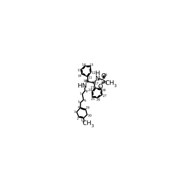 CC1=CCC(CCCCN[C@H](c2ccccc2)[C@@H](NS(C)(=O)=O)c2ccccc2)=CC1